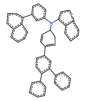 C1=CC(N(c2cccc(-c3cccc4ccccc34)c2)c2cccc3ccccc23)CC=C1c1ccc(-c2ccccc2)c(-c2ccccc2)c1